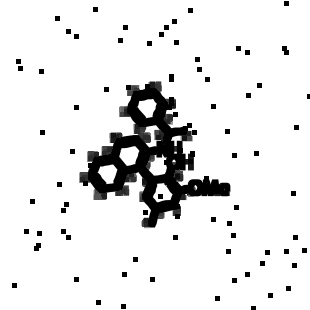 COc1cc(C)cc(-c2c(NC(C)c3ccccc3)ccc3ccccc23)c1O